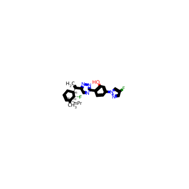 C=C(c1cnc(-c2ccc(-n3cc(F)cn3)cc2O)nn1)[C@H]1CC=C[C@@](C)(CCC)[C@H]1F